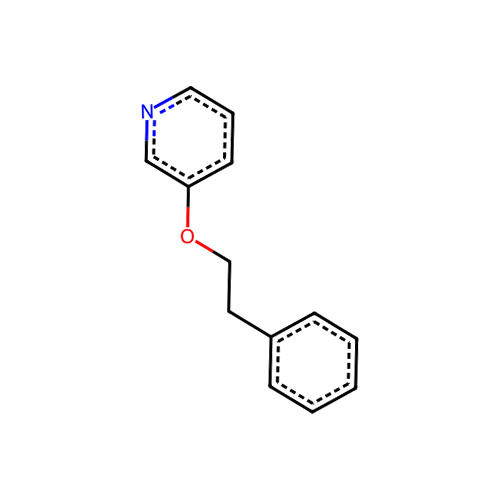 c1ccc(CCOc2cccnc2)cc1